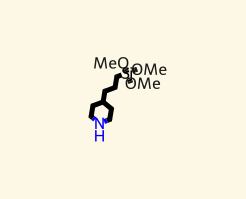 CO[Si](CCCC1CCNCC1)(OC)OC